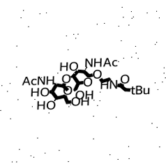 CC(=O)N[C@@H]1C(O[C@@H]2C(CO)OC(OCCNC(=O)CC(C)(C)C)[C@@H](NC(C)=O)C2O)OC(CO)[C@H](O)C1O